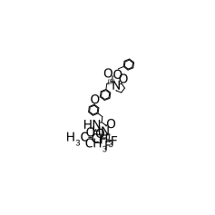 CC(C)(C)OC(=O)NC(Cc1cccc(Oc2cccc(C[C@@H](C(=O)OCc3ccccc3)N3CCCC3=O)c2)c1)C(=O)NCC(F)(F)F